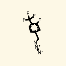 [N-]=[N+]=NCc1ccc(C(F)(F)F)c(F)c1